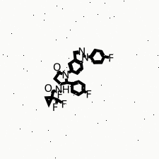 O=C1CC(NC(=O)C2(C(F)(F)F)CC2)C(c2ccc(F)cc2)N1c1ccc2c(cnn2-c2ccc(F)cc2)c1